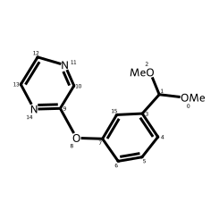 COC(OC)c1cccc(Oc2cnccn2)c1